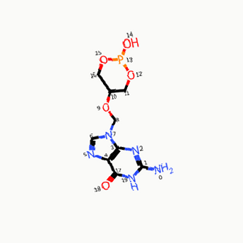 Nc1nc2c(ncn2COC2COP(O)OC2)c(=O)[nH]1